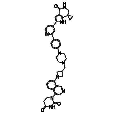 O=C1CCN(c2cncc3c(N4CC(CN5CCN(c6ccc(-c7cc(-c8cc9c([nH]8)C8(CC8)CNC9=O)ccn7)cc6)CC5)C4)cccc23)C(=O)N1